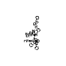 CCCCC[C@@H](CC[C@@H]1[C@H]2Cc3cccc(OCC(=O)OCc4ccccc4)c3C[C@H]2C[C@H]1O[Si](CC)(CC)CC)OP(=O)(OCc1ccccc1)OCc1ccccc1